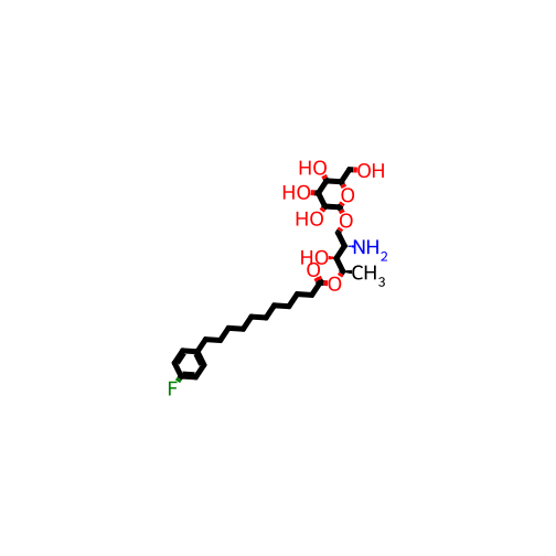 C[C@@H](OC(=O)CCCCCCCCCCc1ccc(F)cc1)[C@@H](O)[C@@H](N)COC1OC(CO)C(O)C(O)C1O